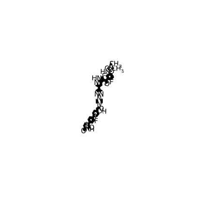 CCN(C)S(=O)(=O)Nc1ccc(F)c(C(=O)c2c[nH]c3ncc(-c4cnc(N5CCN(C(=O)CC6(O)CCN(c7ccc(N8CCC(=O)NC8=O)cc7F)CC6)CC5)nc4)cc23)c1F